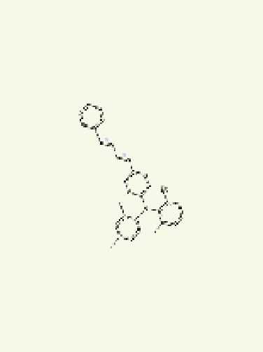 CCc1cccc(C)c1N(c1ccc(/C=C/C=C/c2ccccc2)cc1)c1ccc(C)cc1C